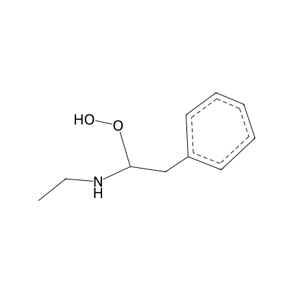 CCNC(Cc1ccccc1)OO